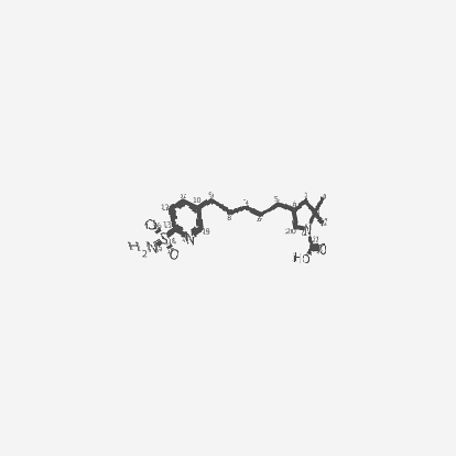 CC1(C)CC(CCCCCc2ccc(S(N)(=O)=O)nc2)CN1C(=O)O